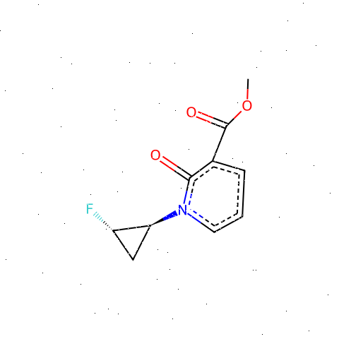 COC(=O)c1cccn([C@H]2C[C@@H]2F)c1=O